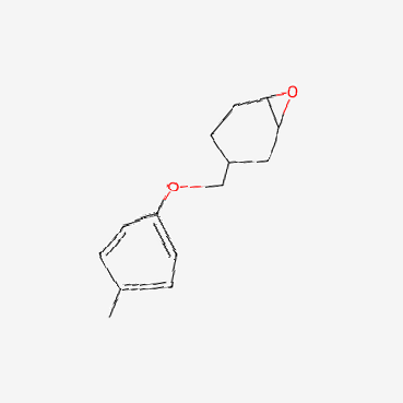 Cc1ccc(OCC2CCC3OC3C2)cc1